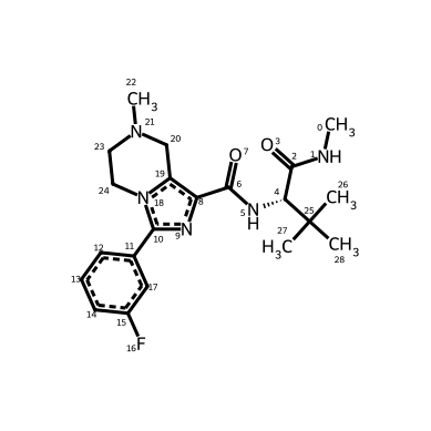 CNC(=O)[C@@H](NC(=O)c1nc(-c2cccc(F)c2)n2c1CN(C)CC2)C(C)(C)C